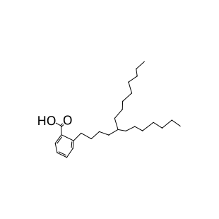 CCCCCCCCC(CCCCCCC)CCCCc1ccccc1C(=O)O